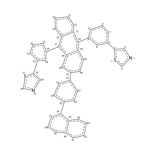 c1cc(-c2cncs2)cc(-c2c3ccccc3c(-c3cccc(-c4cncs4)c3)c3cc(-c4ccc(-c5cccc6ccccc56)cc4)ccc23)c1